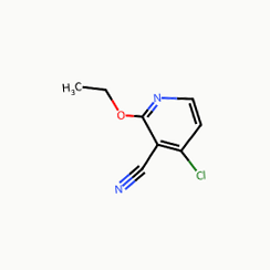 CCOc1nccc(Cl)c1C#N